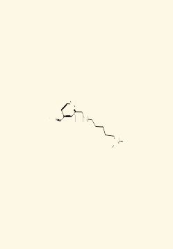 CN(C)CCCCCNCc1cc(C=O)ccn1